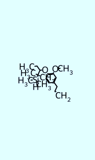 C=CCc1ccc(OC(CC)C(C)(C)[SiH](C)C)c(OC)c1